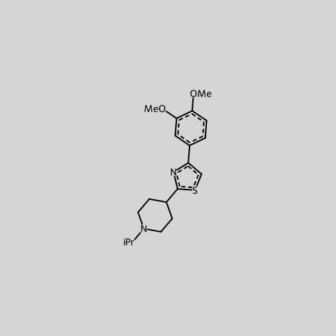 COc1ccc(-c2csc(C3CCN(C(C)C)CC3)n2)cc1OC